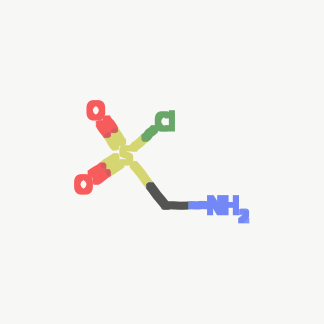 NCS(=O)(=O)Cl